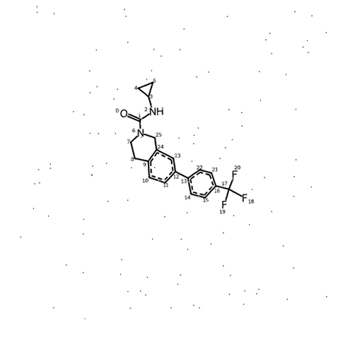 O=C(NC1CC1)N1CCc2ccc(-c3ccc(C(F)(F)F)cc3)cc2C1